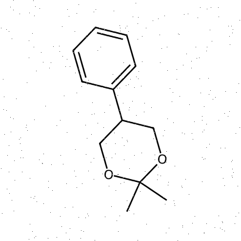 CC1(C)OCC(c2ccccc2)CO1